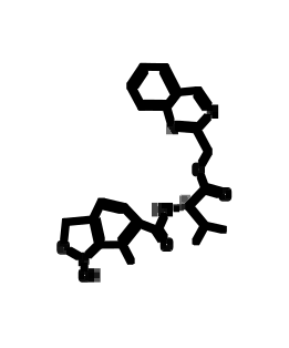 Cc1c(C(=O)N[C@H](C(=O)OCc2ncc3ccccc3n2)C(C)C)ccc2c1B(O)OC2